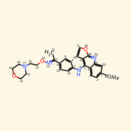 COc1ccc2c(Nc3ccc(/C(C)=N/OCCN4CCOCC4)cc3)c3ccoc3nc2c1